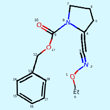 CCON=C=C1CCCN1C(=O)OCc1ccccc1